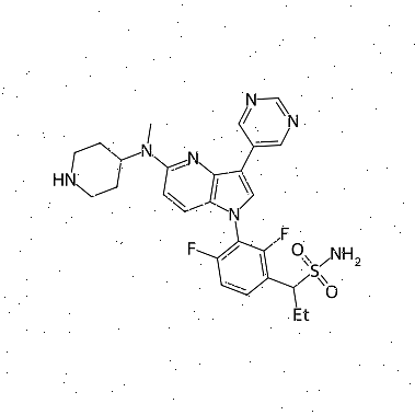 CCC(c1ccc(F)c(-n2cc(-c3cncnc3)c3nc(N(C)C4CCNCC4)ccc32)c1F)S(N)(=O)=O